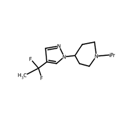 CC(C)N1CCC(n2cc(C(C)(F)F)cn2)CC1